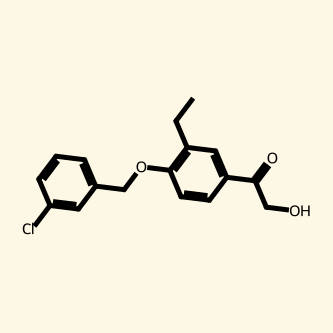 CCc1cc(C(=O)CO)ccc1OCc1cccc(Cl)c1